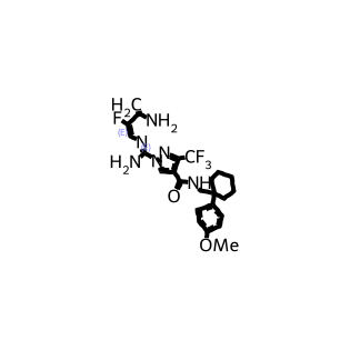 C=C(N)/C(F)=C\N=C(/N)n1cc(C(=O)NCC2(c3ccc(OC)cc3)CCCCC2)c(C(F)(F)F)n1